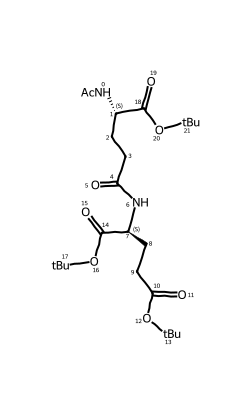 CC(=O)N[C@@H](CCC(=O)N[C@@H](CCC(=O)OC(C)(C)C)C(=O)OC(C)(C)C)C(=O)OC(C)(C)C